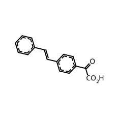 O=C(O)C(=O)c1ccc(/C=C/c2ccccc2)cc1